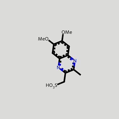 COc1cc2nc(C)c(CS(=O)(=O)O)nc2cc1OC